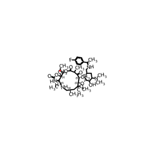 CC[C@H]1OC(=O)C(C)C(=O)[C@H](C)[C@@H](O[C@@H]2OC(CN[C@H](C)c3ccc(F)cc3)CC(N(C)C)C2O)[C@](C)(OC)C[C@@H](C)CN[C@H](C)[C@H]2NC(=O)O[C@@]21C